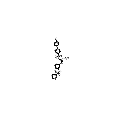 O=C(O)[C@]1(NS(=O)(=O)c2ccc(-c3ccc(Cl)cc3)cc2)C[C@H]1c1cccc(NS(=O)(=O)c2cccnc2)c1